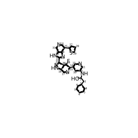 OC(Cc1ccccc1)Nc1cncc(-c2ncc3[nH]nc(-c4nc5c(-c6cccs6)cncc5[nH]4)c3c2F)c1